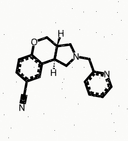 N#Cc1ccc2c(c1)[C@@H]1CN(Cc3ccccn3)C[C@H]1CO2